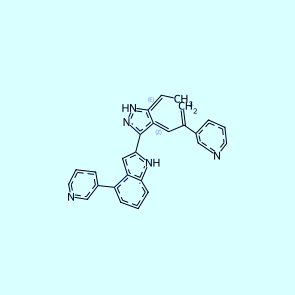 C=C(/C=c1/c(-c2cc3c(-c4cccnc4)cccc3[nH]2)n[nH]/c1=C/C)c1cccnc1